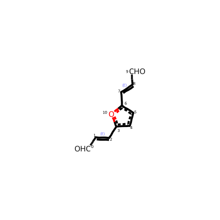 O=C/C=C/c1ccc(/C=C/C=O)o1